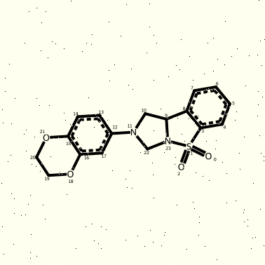 O=S1(=O)c2ccccc2C2CN(c3ccc4c(c3)OCCO4)CN21